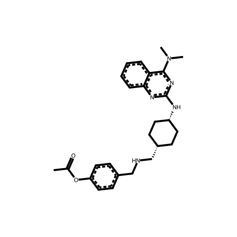 CC(=O)Oc1ccc(CNC[C@H]2CC[C@@H](Nc3nc(N(C)C)c4ccccc4n3)CC2)cc1